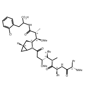 CC[C@H](C)[C@@H](C(CC(=O)N1C2C[C@@H]2C[C@H]1[C@H](OC)[C@@H](C)C(=O)NC(Cc1ccccc1Cl)C(=O)O)OC)N(C)C(=O)[C@@H](NC(=O)[C@@H](NC)C(C)C)C(C)C